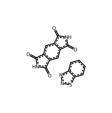 O=c1[nH]c(=O)c2cc3c(=O)[nH]c(=O)c3cc12.c1ccc2snnc2c1